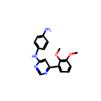 COc1cccc(-c2cc(Nc3ccc(N)cc3)ncn2)c1OC